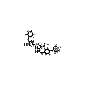 CN1C(=O)[C@H](NC(=O)c2n[nH]c(Cc3ccccc3)n2)CCc2ccc(N3CCN4CCC3CC4)cc21